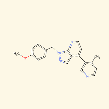 COc1ccc(Cn2ncc3c(-c4cnccc4C)ccnc32)cc1